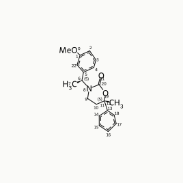 COc1cccc([C@H](C)N2CC[C@@](C)(c3ccccc3)OC2=O)c1